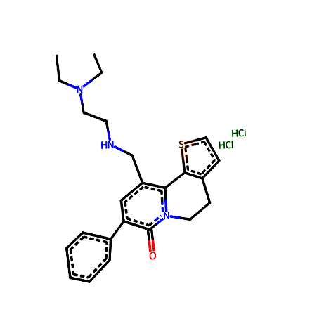 CCN(CC)CCNCc1cc(-c2ccccc2)c(=O)n2c1-c1sccc1CC2.Cl.Cl